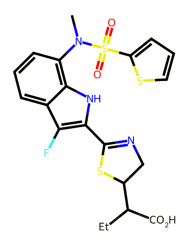 CCC(C(=O)O)C1CN=C(c2[nH]c3c(N(C)S(=O)(=O)c4cccs4)cccc3c2F)S1